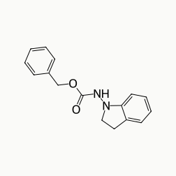 O=C(NN1CCc2ccccc21)OCc1ccccc1